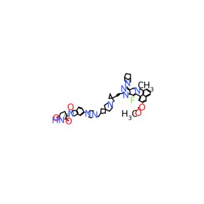 CCc1cccc2cc(OCOC)cc(-c3ncc4c(N5CC6CCC(C6)C5)nc(C#CC5(CN6CCC7(CC6)CC(CN6CCN(c8ccc9c(c8)CN([C@H]8CCC(=O)NC8=O)C9=O)CC6)C7)CC5)nc4c3F)c12